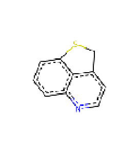 c1cc2c3c(ccnc3c1)CS2